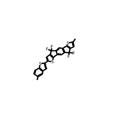 Cc1ccc2sc(-c3cc4c(s3)-c3cc5c(cc3C4(F)F)-c3sc(C)cc3C5(F)F)cc2c1